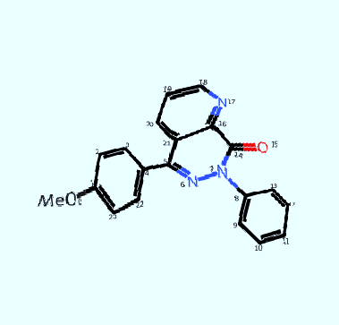 COc1ccc(-c2nn(-c3ccccc3)c(=O)c3ncccc23)cc1